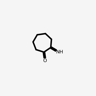 N=C1CCCCCC1=O